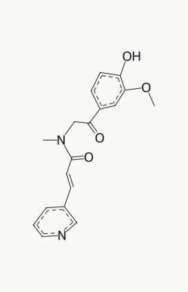 COc1cc(C(=O)CN(C)C(=O)C=Cc2cccnc2)ccc1O